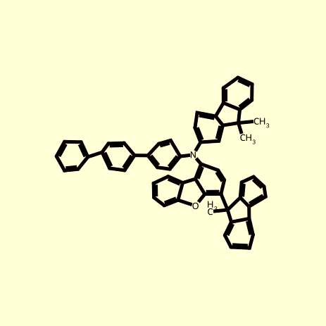 CC1(C)c2ccccc2-c2ccc(N(c3ccc(-c4ccc(-c5ccccc5)cc4)cc3)c3ccc(C4(C)c5ccccc5-c5ccccc54)c4oc5ccccc5c34)cc21